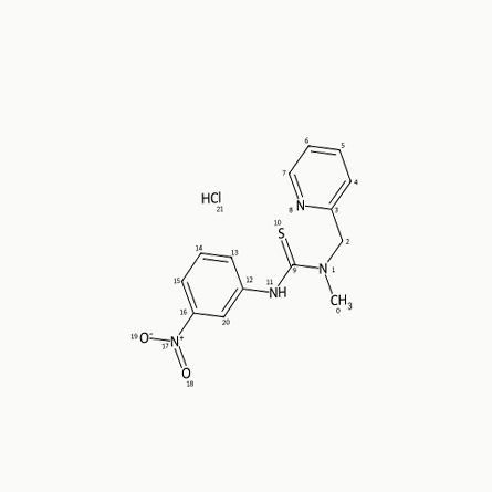 CN(Cc1ccccn1)C(=S)Nc1cccc([N+](=O)[O-])c1.Cl